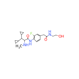 CNC(C(=O)Nc1ccc(CC(=O)NCCO)cc1F)C(C1CC1)C1CC1